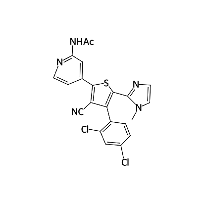 CC(=O)Nc1cc(-c2sc(-c3nccn3C)c(-c3ccc(Cl)cc3Cl)c2C#N)ccn1